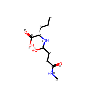 CCC[C@H](NC(O)CCC(=O)NC)C(=O)O